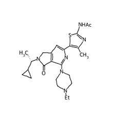 CCN1CCN(c2nc(-c3sc(NC(C)=O)nc3C)cc3c2C(=O)N([C@@H](C)C2CC2)C3)CC1